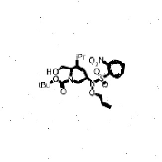 C=CCON(C1C=C(C(C)C)C(CO)N(C(=O)OC(C)(C)C)C1)S(=O)(=O)c1ccccc1[N+](=O)[O-]